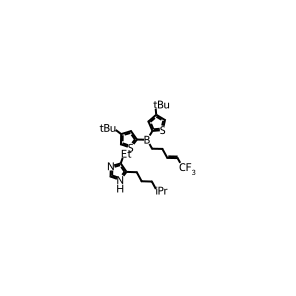 CC(C)(C)c1csc(B(CCC=CC(F)(F)F)c2cc(C(C)(C)C)cs2)c1.CCc1nc[nH]c1CCCC(C)C